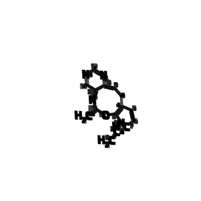 C=C=N/C1=C(\C=C/C)C/C=c2/ncnc/c2=N/C(=C)O1